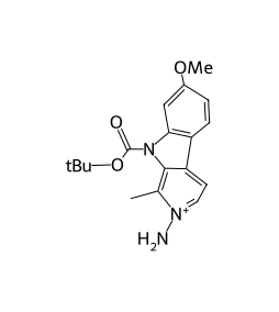 COc1ccc2c3cc[n+](N)c(C)c3n(C(=O)OC(C)(C)C)c2c1